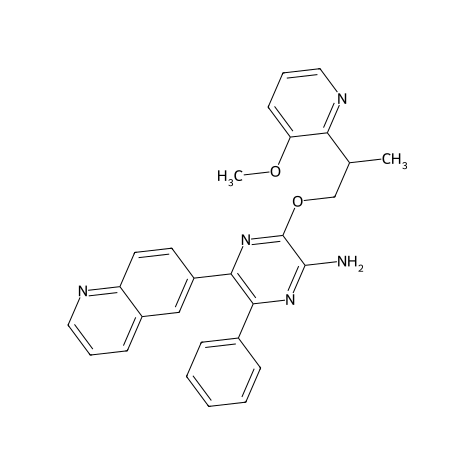 COc1cccnc1C(C)COc1nc(-c2ccc3ncccc3c2)c(-c2ccccc2)nc1N